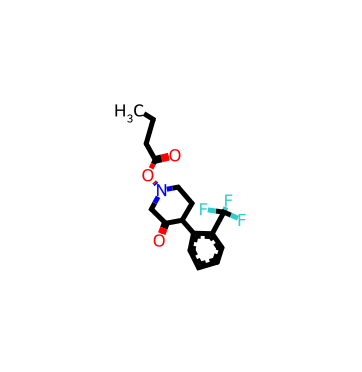 CCCC(=O)ON1CCC(c2ccccc2C(F)(F)F)C(=O)C1